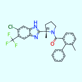 Cc1cccc(C(=O)N2CCC[C@@]2(C)c2nc3cc(C(F)(F)F)c(Cl)cc3[nH]2)c1-c1ccccc1